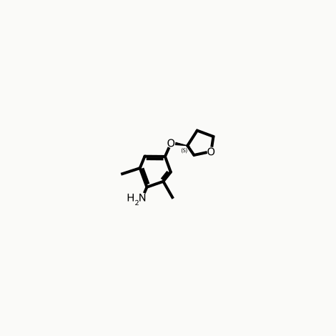 Cc1cc(O[C@H]2CCOC2)cc(C)c1N